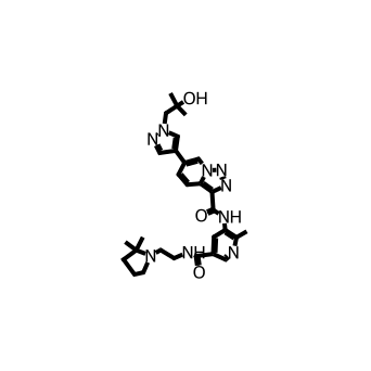 Cc1ncc(C(=O)NCCN2CCCC2(C)C)cc1NC(=O)c1nnn2cc(-c3cnn(CC(C)(C)O)c3)ccc12